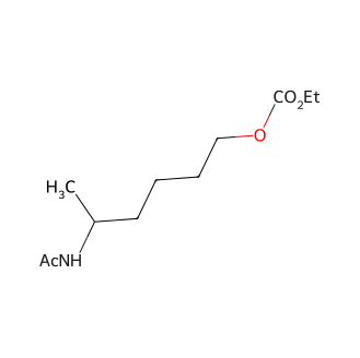 C[CH]OC(=O)OCCCCC(C)NC(C)=O